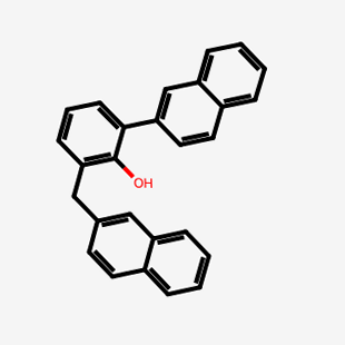 Oc1c(Cc2ccc3ccccc3c2)cccc1-c1ccc2ccccc2c1